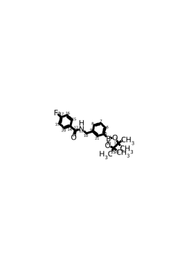 CC1(C)OB(c2cccc(CNC(=O)c3ccc(F)cc3)c2)OC1(C)C